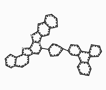 c1ccc2cc3c(cc2c1)nc1c2sc4c5ccccc5ccc4c2cc(-c2ccc(-c4ccc5c6ccccc6c6ccccc6c5c4)cc2)n31